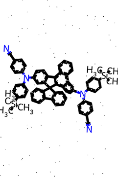 C[Si](C)(C)c1ccc(N(c2ccc(C#N)cc2)c2ccc3c(c2)C2(c4ccccc4-c4ccccc42)c2c-3c3ccccc3c3cc(N(C4=CCC([Si](C)(C)C)C=C4)c4ccc(C#N)cc4)ccc23)cc1